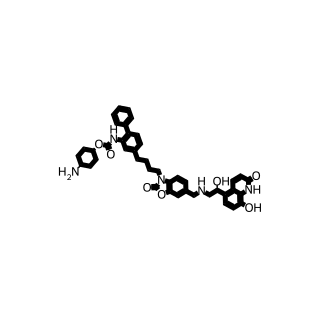 N[C@H]1CC[C@H](OC(=O)Nc2cc(CCCCn3c(=O)oc4cc(CNC[C@H](O)c5ccc(O)c6[nH]c(=O)ccc56)ccc43)ccc2-c2ccccc2)CC1